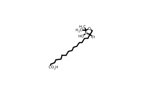 CCC1(CCCCCCCCCCCCCCC(=O)O)COC(C)(C)N1O